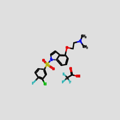 CN(C)CCOc1cccc2c1ccn2S(=O)(=O)c1ccc(F)c(Cl)c1.O=C(O)C(F)(F)F